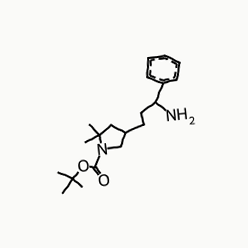 CC(C)(C)OC(=O)N1CC(CCC(N)c2ccccc2)CC1(C)C